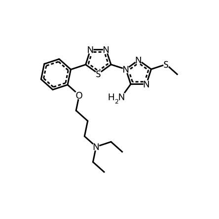 CCN(CC)CCCOc1ccccc1-c1nnc(-n2nc(SC)nc2N)s1